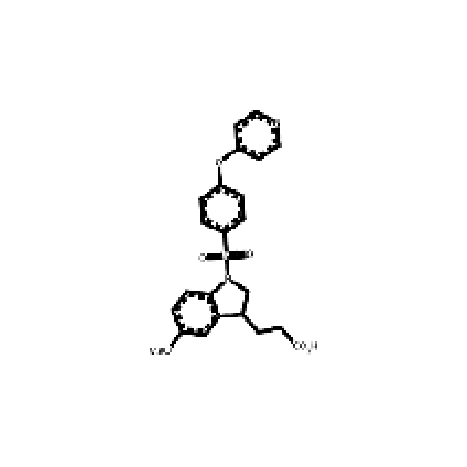 COc1ccc2c(c1)C(CCC(=O)O)CN2S(=O)(=O)c1ccc(Oc2ccncc2)cc1